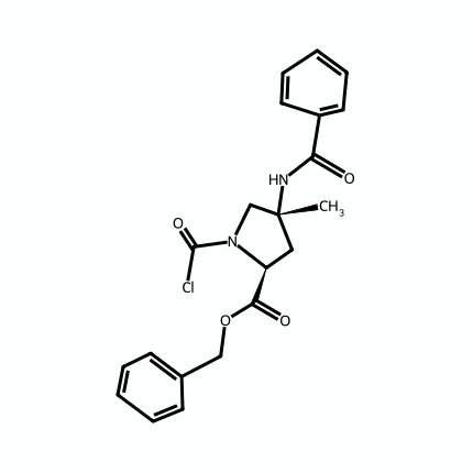 C[C@@]1(NC(=O)c2ccccc2)C[C@@H](C(=O)OCc2ccccc2)N(C(=O)Cl)C1